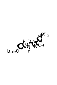 COc1ccc(F)c(/C=N/NC(=O)c2cnc(O)c(-c3ccc(OC(F)(F)F)nc3)n2)c1